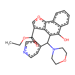 CCOC(=O)c1coc2c1c(C(c1ccncc1)N1CCOCC1)c(O)c1ccccc12